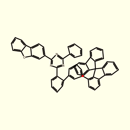 c1ccc(-c2nc(-c3ccc4c(c3)oc3ccccc34)nc(-c3ccccc3-c3cccc(-c4cccc5c4C4(c6ccccc6-c6ccccc64)c4ccccc4-5)c3)n2)cc1